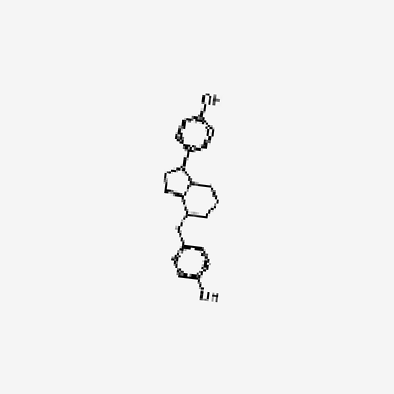 Oc1ccc(CC2CCCC3C2=CCC3c2ccc(O)cc2)cc1